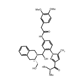 CCCCN(CCCC)C(=O)c1cc(C)n(-c2ccc(NC(=O)Cc3ccc(OC)c(OC)c3)cc2C(O)N2Cc3ccccc3C[C@H]2CO)n1